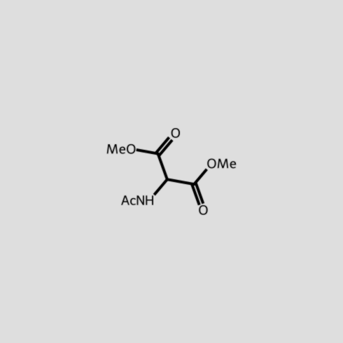 COC(=O)C(NC(C)=O)C(=O)OC